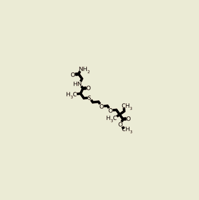 CCC(C)(COCOCCSCC(C)C(=O)NCC(N)=O)C(=O)OC